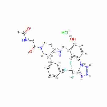 CC(=O)NCC(=O)N1CC[C@H](NCc2cc(-n3nnnc3C(F)(F)F)ccc2O)[C@H](c2ccccc2)C1.Cl